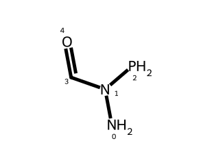 NN(P)C=O